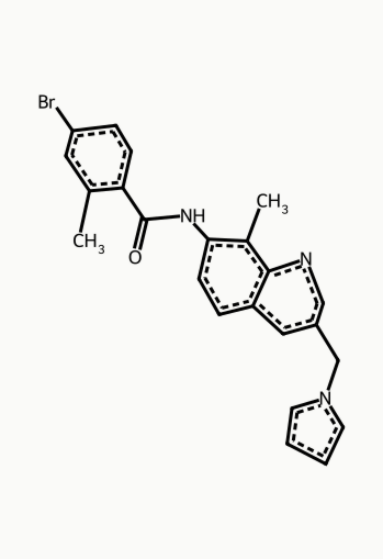 Cc1cc(Br)ccc1C(=O)Nc1ccc2cc(Cn3cccc3)cnc2c1C